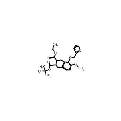 CCOC(=O)C1Cc2c(ccc(OC)c2OCc2cccs2)CN1C(=O)OC(C)(C)C